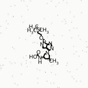 C[C@H]1C[C@@H](NC(=O)O)CN(c2ncnc3c2cnn3COCC[Si](C)(C)C)C1